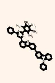 Bc1c(B)c(B)c(-c2nc(-c3ccccc3)cc(-c3cccc4c3oc3ccc(-c5ccc6c(c5)c5ccccc5n6-c5ccccc5)cc34)n2)c(B)c1B